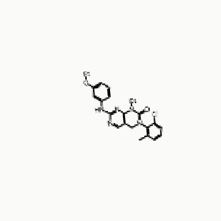 CCOc1cccc(Nc2ncc3c(n2)N(CC)C(=O)N(c2c(C)cccc2Cl)C3)c1